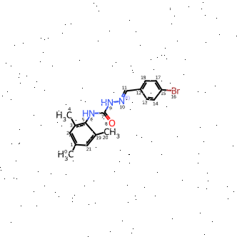 Cc1cc(C)c(NC(=O)N/N=C/c2ccc(Br)cc2)c(C)c1